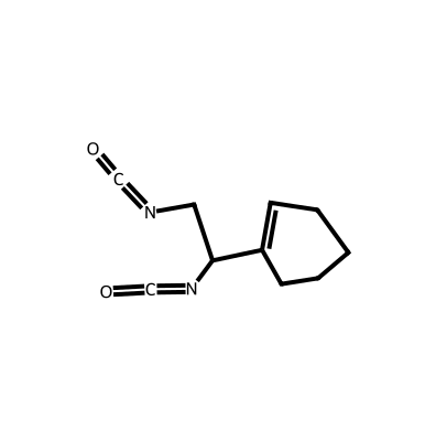 O=C=NCC(N=C=O)C1=CCCCC1